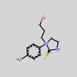 Cc1ccc([N+]2(CCCO)CCNC2=S)cc1